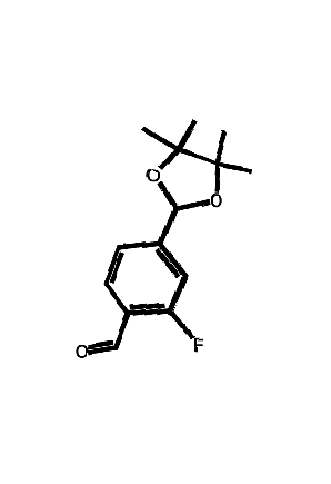 CC1(C)OC(c2ccc(C=O)c(F)c2)OC1(C)C